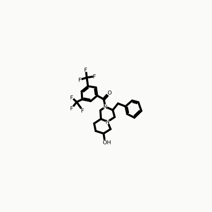 O=C(c1cc(C(F)(F)F)cc(C(F)(F)F)c1)N1CC2CCC(O)CN2CC1Cc1ccccc1